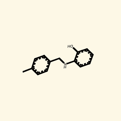 Cc1ccc(CNc2ccccc2O)cc1